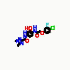 Cc1nc(C(=O)NC23CCC(NC(=O)COc4ccc(Cl)c(F)c4)(CC2)C(O)C3)nn1C